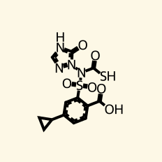 O=C(O)c1ccc(C2CC2)cc1S(=O)(=O)N(C(=O)S)n1nc[nH]c1=O